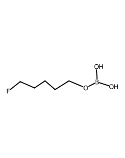 OB(O)OCCCCCF